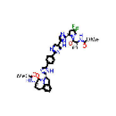 COC(=O)N[C@H]1CCc2cccc3c2N(C1=O)[C@H](c1ncc(-c2ccc(-c4ncc(-c5cnc([C@@H]6CC(F)(F)CN6C(=O)[C@@H](NC(=O)OC)C(C)C)[nH]5)cn4)cc2)[nH]1)C3